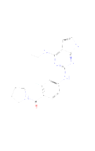 O=C(c1ccc(Nc2nc(NCC(F)(F)F)c3cc[nH]c3n2)cc1F)N1CCCC1